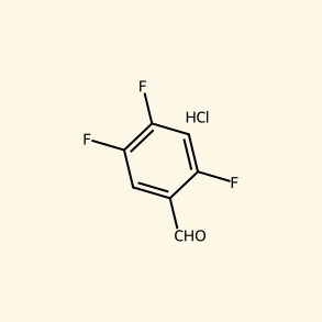 Cl.O=Cc1cc(F)c(F)cc1F